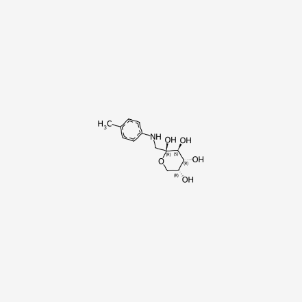 Cc1ccc(NC[C@@]2(O)OC[C@@H](O)[C@@H](O)[C@@H]2O)cc1